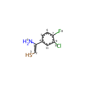 N/C(=C\S)c1ccc(F)c(Cl)c1